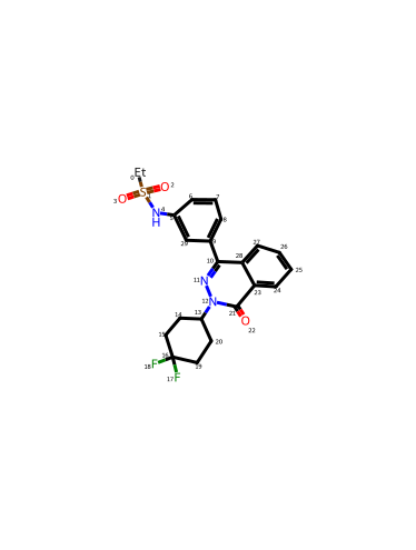 CCS(=O)(=O)Nc1cccc(-c2nn(C3CCC(F)(F)CC3)c(=O)c3ccccc23)c1